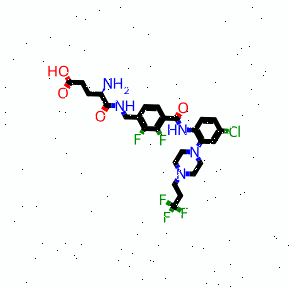 N[C@@H](CCC(=O)O)C(=O)NCc1ccc(C(=O)Nc2ccc(Cl)cc2N2CCN(CCC(F)(F)F)CC2)c(F)c1F